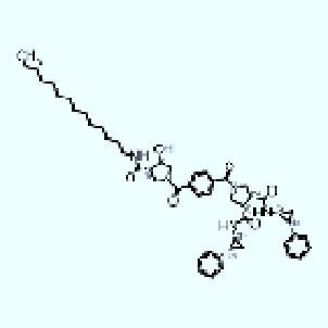 CCCCCCCCCCCCCCNC(=O)[C@H]1CN(C(=O)c2ccc(C(=O)N3C[C@@H](C(=O)N[C@H]4C[C@@H]4c4ccccc4)[C@H](C(=O)N[C@H]4C[C@@H]4c4ccccc4)C3)cc2)C[C@@H]1O